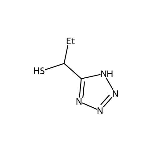 [CH2]CC(S)c1nnn[nH]1